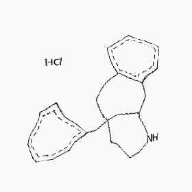 Cl.c1ccc(C23CCNC2c2ccccc2C3)cc1